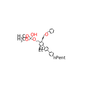 CCCCCc1ccc(-c2ccc(-c3cc(C#CCOCc4ccccc4)c(CCOCC4(CO)COC(C)(C)OC4)cc3CC)c(CC)c2)cc1